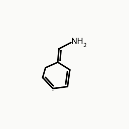 NC=C1C=C[C]=CC1